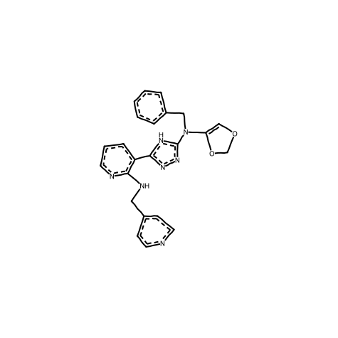 C1=C(N(Cc2ccccc2)c2nnc(-c3cccnc3NCc3ccncc3)[nH]2)OCO1